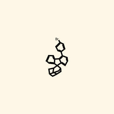 Brc1ccc(-c2cccc3c2-c2ccccc2C32C3CC4CC(C3)CC2C4)cc1